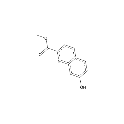 COC(=O)c1ccc2ccc(O)cc2n1